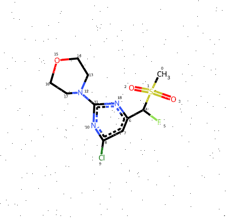 CS(=O)(=O)C(F)c1cc(Cl)nc(N2CCOCC2)n1